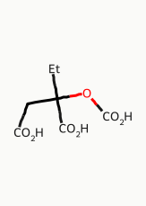 CCC(CC(=O)O)(OC(=O)O)C(=O)O